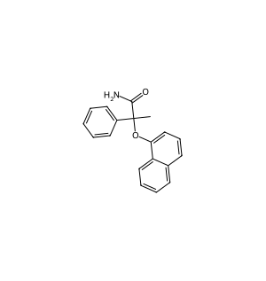 CC(Oc1cccc2ccccc12)(C(N)=O)c1ccccc1